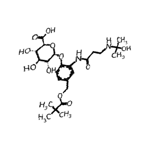 CC(C)(O)NCCC(=O)Nc1cc(COC(=O)C(C)(C)C)ccc1O[C@@H]1O[C@H](C(=O)O)[C@@H](O)[C@H](O)[C@H]1O